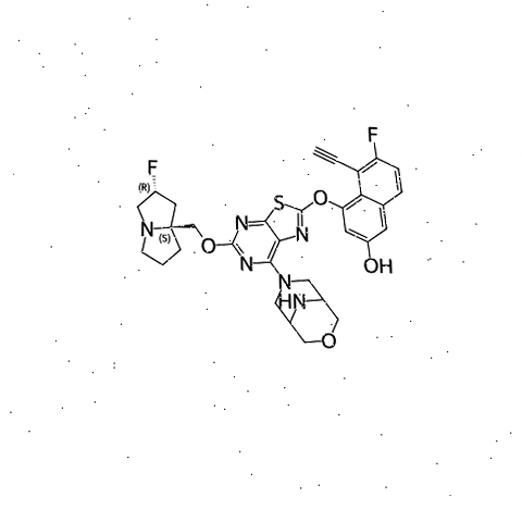 C#Cc1c(F)ccc2cc(O)cc(Oc3nc4c(N5CC6COCC(C5)N6)nc(OC[C@@]56CCCN5C[C@H](F)C6)nc4s3)c12